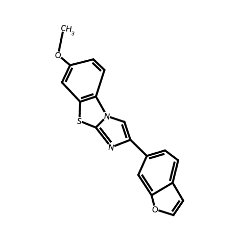 COc1ccc2c(c1)sc1nc(-c3ccc4ccoc4c3)cn12